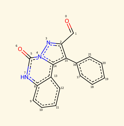 O=Cc1nn2c(=O)[nH]c3ccccc3c2c1-c1ccccc1